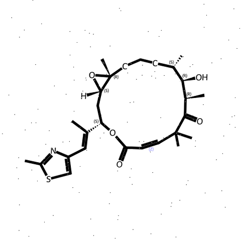 CC(=Cc1csc(C)n1)[C@@H]1C[C@@H]2O[C@]2(C)CCC[C@H](C)[C@@H](O)[C@@H](C)C(=O)C(C)(C)/C=C\C(=O)O1